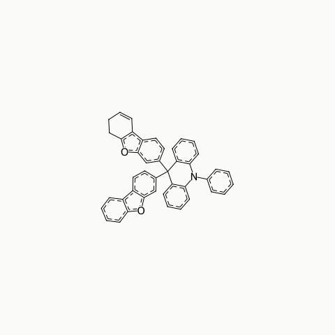 C1=Cc2c(oc3cc(C4(c5ccc6c(c5)oc5ccccc56)c5ccccc5N(c5ccccc5)c5ccccc54)ccc23)CC1